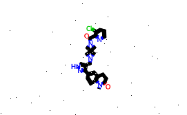 CN1C(=O)CCc2cc(-c3n[nH]cc3CN3CC4(C3)CN(C(=O)c3ncccc3Cl)C4)ccc21